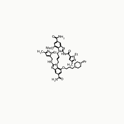 CCn1nc(C)cc1CNc1nc2cc(C(N)=O)cc(OCCCN3CCN(C(C)C)CC3)c2n1C/C=C/Cn1c(NC(=O)c2cc(C)nn2CC)nc2cc(C(N)=O)cc(OC)c21